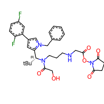 CC(C)(C)[C@H](c1cc(-c2cc(F)ccc2F)cn1Cc1ccccc1)N(CCCNCC(=O)ON1C(=O)CCC1=O)C(=O)CO